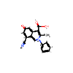 Cc1c(C(=O)O)c2cc(=O)cc(C#N)c-2cn1-c1ccccc1